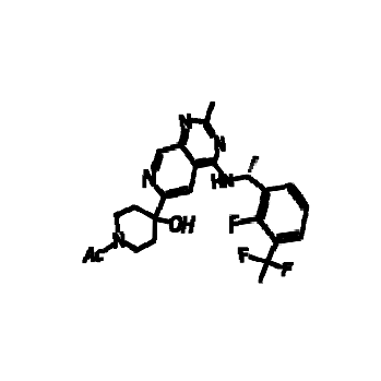 CC(=O)N1CCC(O)(c2cc3c(N[C@H](C)c4cccc(C(C)(F)F)c4F)nc(C)nc3cn2)CC1